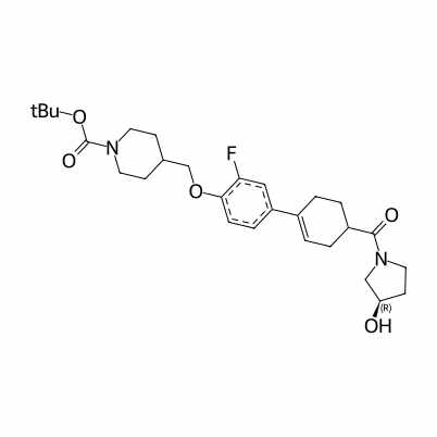 CC(C)(C)OC(=O)N1CCC(COc2ccc(C3=CCC(C(=O)N4CC[C@@H](O)C4)CC3)cc2F)CC1